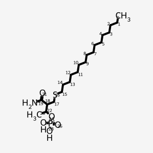 CCCCCCCCCCCCCCCCSCC(C(N)=O)C(C)OP(=O)(O)O